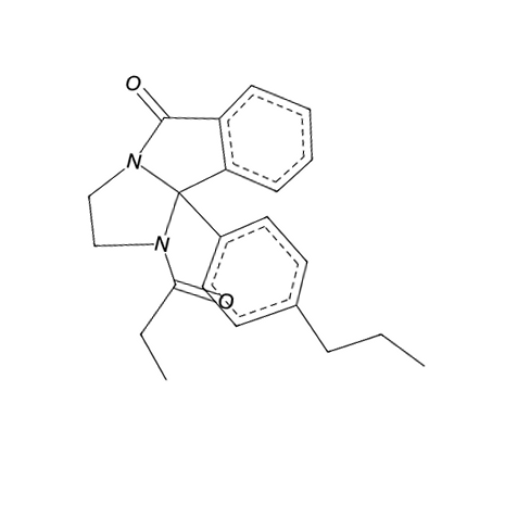 CCCc1ccc(C23c4ccccc4C(=O)N2CCN3C(=O)CC)cc1